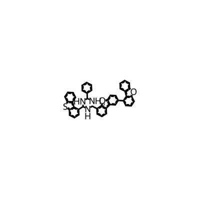 NC(NC(NCc1cccc2c1oc1ccc(-c3cccc4oc5ccccc5c34)cc12)c1cccc2sc3ccccc3c12)c1ccccc1